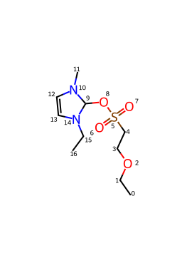 CCOCCS(=O)(=O)OC1N(C)C=CN1CC